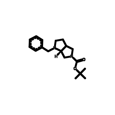 CC(C)(C)OC(=O)N1CC2CCN(Cc3ccccc3)[C@H]2C1